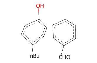 CCCCc1ccc(O)cc1.O=Cc1ccccc1